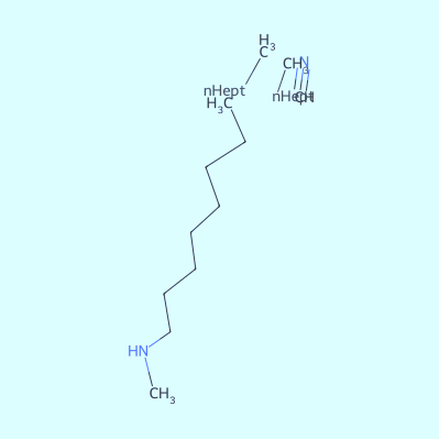 C#N.CCCCCCCC.CCCCCCCC.CCCCCCCCNC